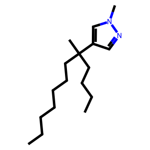 CCCCCCCC(C)(CCCC)c1cnn(C)c1